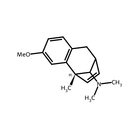 COc1ccc2c(c1)[C@@]1(C)C=CC(C2)C1N(C)C